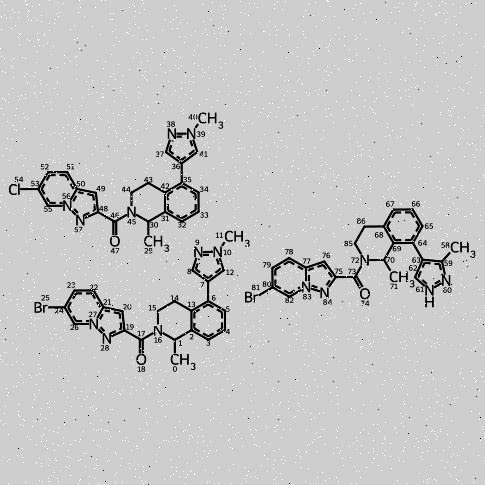 CC1c2cccc(-c3cnn(C)c3)c2CCN1C(=O)c1cc2ccc(Br)cn2n1.CC1c2cccc(-c3cnn(C)c3)c2CCN1C(=O)c1cc2ccc(Cl)cn2n1.Cc1n[nH]cc1-c1cccc2c1C(C)N(C(=O)c1cc3ccc(Br)cn3n1)CC2